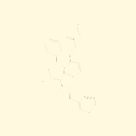 O=CN(CCc1ccccc1)C(C(=O)NCc1ccccc1)c1cccc(C=CC(=O)NO)c1